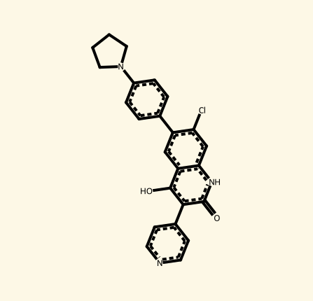 O=c1[nH]c2cc(Cl)c(-c3ccc(N4CCCC4)cc3)cc2c(O)c1-c1ccncc1